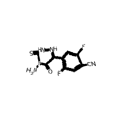 N#Cc1cc(F)c(C2NNC(=S)N(N)C2=O)cc1F